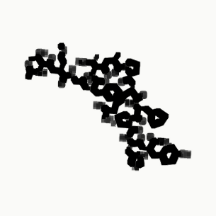 CSCC[C@H](CC(=O)[C@@H](NC(C)=O)[C@@H](C)O)C(=O)NCC(=O)C[C@@H](Cc1ccccc1)C(=O)N[C@H](C(=O)C[C@@H](C)C(=O)N1CCC[C@H]1C(=O)C[C@@H](CCCCC(=N)N)C(=O)N[C@@H](Cc1ccccc1)C(=O)N1CCC[C@H]1C(=O)N[C@@H](Cc1cnc[nH]1)C(=O)C[C@@H](Cc1ccc(O)cc1)C(N)=O)[C@@H](C)O